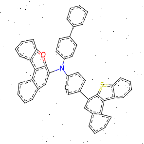 c1ccc(-c2ccc(N(c3ccc(-c4cc5ccccc5c5c4sc4ccccc45)cc3)c3cc4ccccc4c4c3oc3ccccc34)cc2)cc1